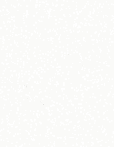 CCN1C(=O)C(=C/C=C2/N(C)c3ccccc3C2(C)C)C(=O)N(CC)C1=S